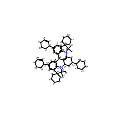 CC1(C)N2C3=C4B(c5cc(C6C=CCCC6)cc(c52)C12CCCCC2)c1cc(C2C=CCCC2)cc2c1N(C4CC(C1CCCCC1)C3)C(C)(C)C21CCCCC1